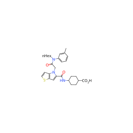 CCCCCCN(C(=O)Cn1c(C(=O)NC2CCC(C(=O)O)CC2)cc2sccc21)c1cccc(C)c1